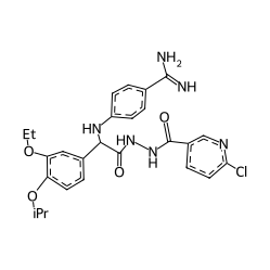 CCOc1cc(C(Nc2ccc(C(=N)N)cc2)C(=O)NNC(=O)c2ccc(Cl)nc2)ccc1OC(C)C